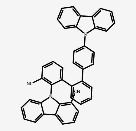 N#Cc1cccc(-c2ccccc2-c2ccc(-n3c4ccccc4c4ccccc43)cc2)c1-n1c2ccccc2c2cccc(C#N)c21